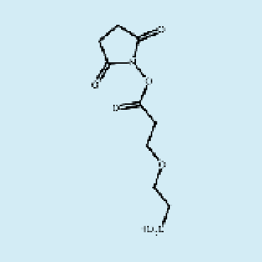 O=C(O)CCOCCC(=O)ON1C(=O)CCC1=O